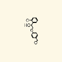 O=Cc1ccc(OCC(O)c2ccccc2Cl)cc1